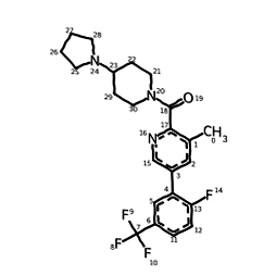 Cc1cc(-c2cc(C(F)(F)F)ccc2F)cnc1C(=O)N1CCC(N2CCCC2)CC1